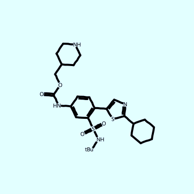 CC(C)(C)NS(=O)(=O)c1cc(NC(=O)OCC2CCNCC2)ccc1-c1cnc(C2CCCCC2)s1